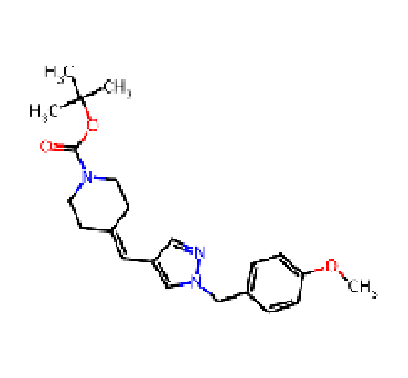 COc1ccc(Cn2cc(C=C3CCN(C(=O)OC(C)(C)C)CC3)cn2)cc1